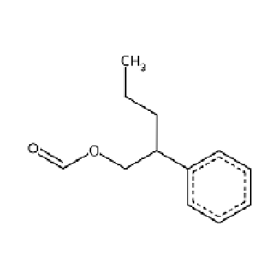 CCCC(COC=O)c1ccccc1